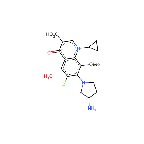 COc1c(N2CCC(N)C2)c(F)cc2c(=O)c(C(=O)O)cn(C3CC3)c12.O